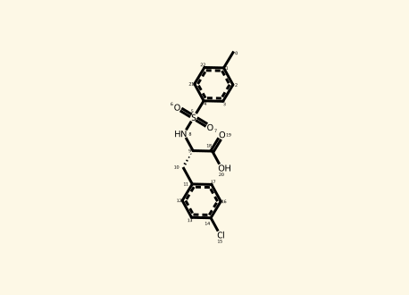 Cc1ccc(S(=O)(=O)N[C@@H](Cc2ccc(Cl)cc2)C(=O)O)cc1